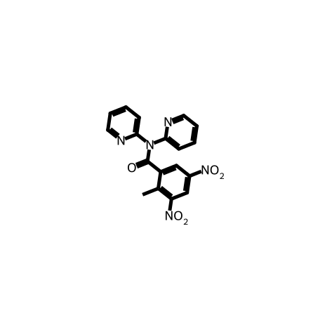 Cc1c(C(=O)N(c2ccccn2)c2ccccn2)cc([N+](=O)[O-])cc1[N+](=O)[O-]